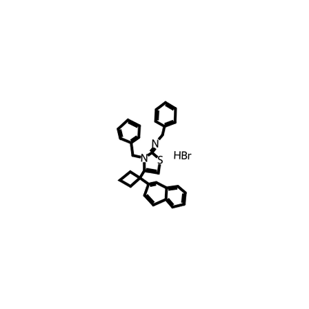 Br.c1ccc(C/N=c2\scc(C3(c4ccc5ccccc5c4)CCC3)n2Cc2ccccc2)cc1